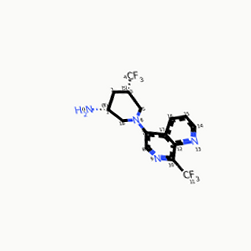 N[C@@H]1C[C@H](C(F)(F)F)CN(c2cnc(C(F)(F)F)c3ncccc23)C1